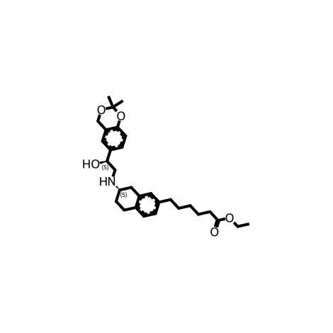 CCOC(=O)CCCCCc1ccc2c(c1)C[C@@H](NC[C@@H](O)c1ccc3c(c1)COC(C)(C)O3)CC2